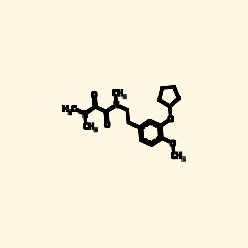 COc1ccc(CCN(C)C(=O)C(=O)N(C)C)cc1OC1CCCC1